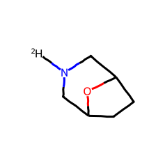 [2H]N1CC2CCC(C1)O2